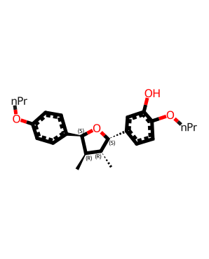 CCCOc1ccc([C@H]2O[C@H](c3ccc(OCCC)c(O)c3)[C@H](C)[C@H]2C)cc1